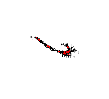 COCCOCCOCCOCCOCCOCCOCCOCCOCCOCCOCCOc1ccc(C[C@@H](C(=O)N[C@H](C(=O)N[C@@H](CCCNC(N)=O)C(=O)Nc2ccc(COC(=O)C(C)C)cc2)C(C)C)N2C(=O)C=CC2=O)cc1